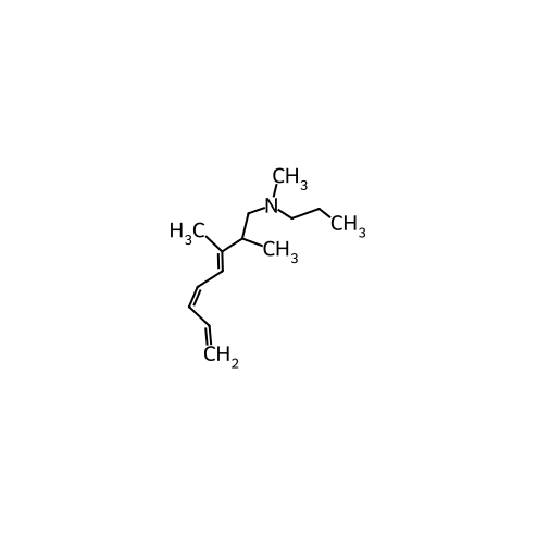 C=C/C=C\C=C(/C)C(C)CN(C)CCC